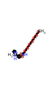 CN[C@H](CN1CCCC1)c1cccc(S(=O)(=O)NCCOCCOCCOCCOCCOCCOCCOC)c1